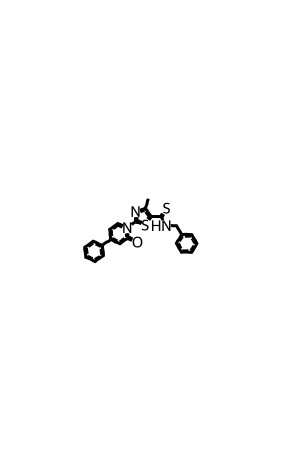 Cc1nc(-n2ccc(-c3ccccc3)cc2=O)sc1C(=S)NCc1ccccc1